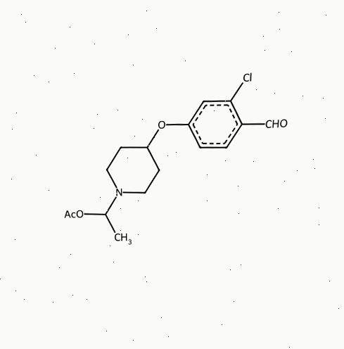 CC(=O)OC(C)N1CCC(Oc2ccc(C=O)c(Cl)c2)CC1